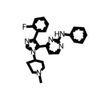 CN1CCC(n2cnc(-c3ccccc3F)c2-c2ccnc(Nc3ccccc3)n2)CC1